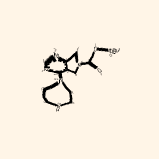 CC(C)(C)OC(=O)N1Cc2ncnc(N3CCNCC3)c2C1